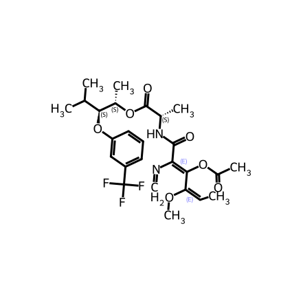 C=N/C(C(=O)N[C@@H](C)C(=O)O[C@@H](C)[C@@H](Oc1cccc(C(F)(F)F)c1)C(C)C)=C(OC(C)=O)\C(=C/C)OC